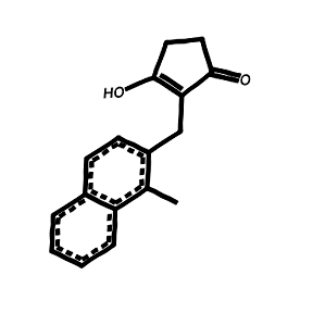 Cc1c(CC2=C(O)CCC2=O)ccc2ccccc12